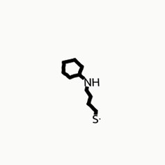 [S]CCCCNC1CCCCC1